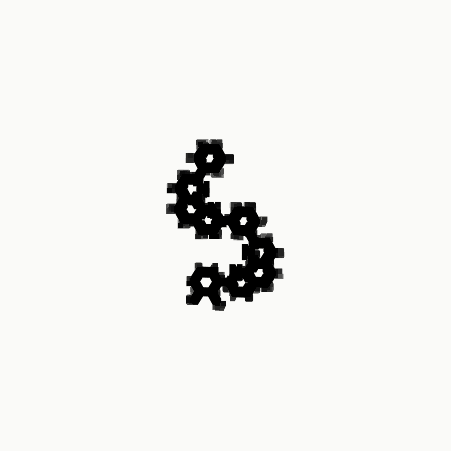 CC1CC=CC(c2ccc3ccc4ccc(-c5cccc(-c6ccc7ccc8ccc(-c9ccccc9)nc8c7n6)c5)nc4c3n2)C1C